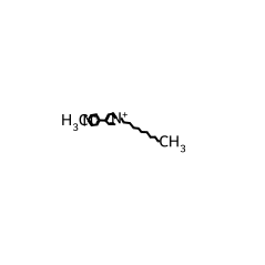 CCCCCCCCCCC[n+]1ccc(-c2cc[n+](C)cc2)cc1